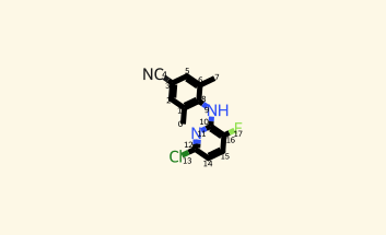 Cc1cc(C#N)cc(C)c1Nc1nc(Cl)ccc1F